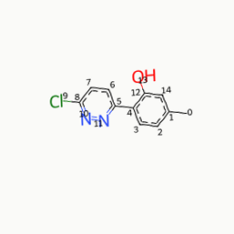 Cc1ccc(-c2ccc(Cl)nn2)c(O)c1